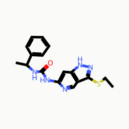 CCSc1n[nH]c2cc(NC(=O)NC(C)c3ccccc3)ncc12